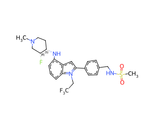 CN1CC[C@H](Nc2cccc3c2cc(-c2ccc(CNS(C)(=O)=O)cc2)n3CC(F)(F)F)[C@H](F)C1